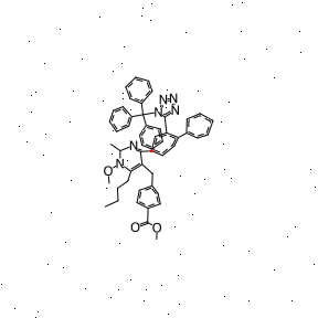 CCCCC1=C(Cc2ccc(C(=O)OC)cc2)C(c2ccc(-c3ccccc3)c(-c3nnnn3C(c3ccccc3)(c3ccccc3)c3ccccc3)c2)=NC(C)N1OC